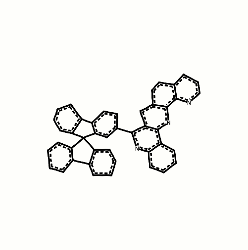 c1ccc2c(c1)-c1ccccc1C21c2ccccc2-c2ccc(-c3nc4ccccc4c4nc5c(ccc6cccnc65)cc34)cc21